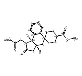 COC(=O)CN1C(=O)C[C@H]2CC3(CCN(C(=O)OC(C)(C)C)CC3)c3ccccc3[C@H]21